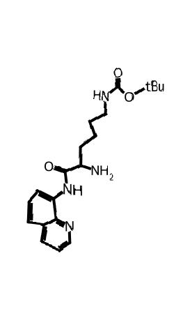 CC(C)(C)OC(=O)NCCCCC(N)C(=O)Nc1cccc2cccnc12